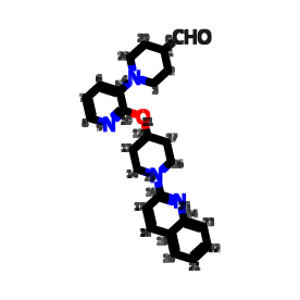 O=CC1CCN(c2cccnc2OC2CCN(c3ccc4ccccc4n3)CC2)CC1